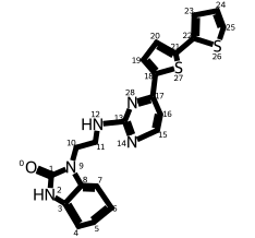 O=c1[nH]c2ccccc2n1CCNc1nccc(-c2ccc(-c3cccs3)s2)n1